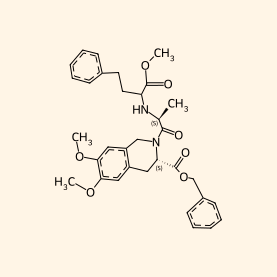 COC(=O)C(CCc1ccccc1)N[C@@H](C)C(=O)N1Cc2cc(OC)c(OC)cc2C[C@H]1C(=O)OCc1ccccc1